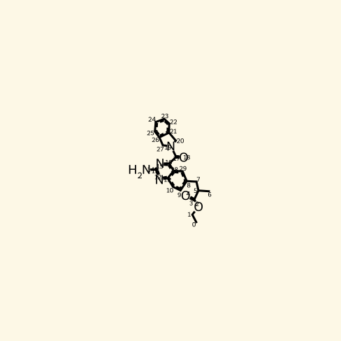 CCOC(=O)C(C)Cc1ccc2nc(N)nc(C(=O)N3Cc4ccccc4C3)c2c1